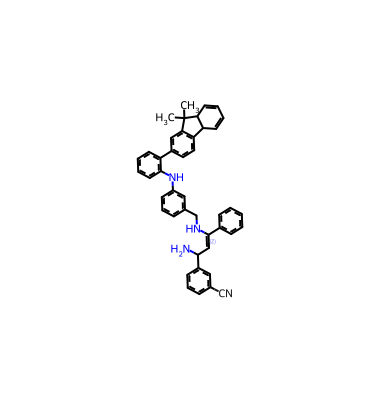 CC1(C)c2cc(-c3ccccc3Nc3cccc(CN/C(=C\C(N)c4cccc(C#N)c4)c4ccccc4)c3)ccc2C2C=CC=CC21